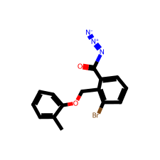 Cc1ccccc1OCc1c(Br)cccc1C(=O)N=[N+]=[N-]